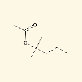 [CH2]C(C)(CCC)OC(C)=O